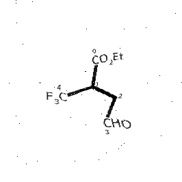 CCOC(=O)C(CC=O)C(F)(F)F